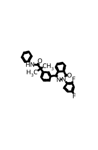 CC(C)(C(=O)Nc1ccccc1)c1cccc(-c2nn(-c3ccc(F)cc3F)c(=O)c3ccccc23)c1